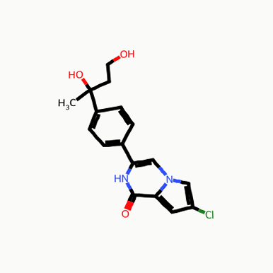 CC(O)(CCO)c1ccc(-c2cn3cc(Cl)cc3c(=O)[nH]2)cc1